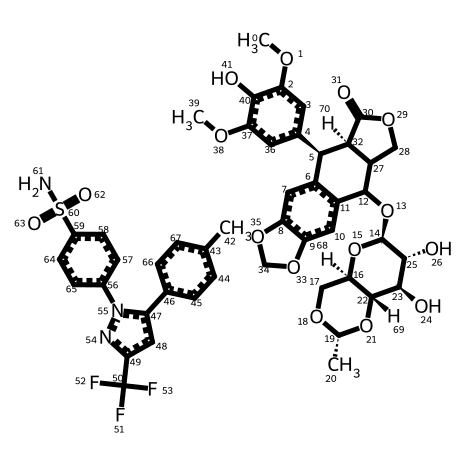 COc1cc([C@@H]2c3cc4c(cc3C(O[C@@H]3O[C@@H]5CO[C@@H](C)O[C@H]5[C@H](O)[C@H]3O)C3COC(=O)[C@@H]32)OCO4)cc(OC)c1O.Cc1ccc(-c2cc(C(F)(F)F)nn2-c2ccc(S(N)(=O)=O)cc2)cc1